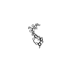 CC(C)[C@@H](NC(=O)OC(C)(C)C)C(=O)N=S(C)(=O)Cc1cc2nc(c1)OCCCOc1cc(F)ccc1-c1cc(ncc1F)N2